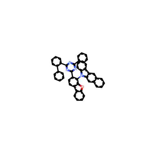 c1ccc(-c2nc(-c3ccccc3-c3ccccc3)nc(-c3ccc4c(oc5ccccc54)c3-n3c4ccccc4c4cc5ccccc5cc43)n2)cc1